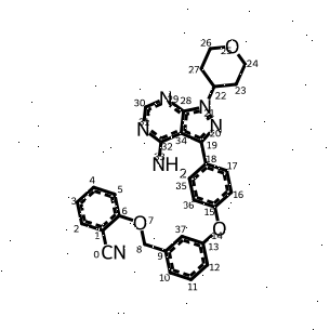 N#Cc1ccccc1OCc1cccc(Oc2ccc(-c3nn(C4CCOCC4)c4ncnc(N)c34)cc2)c1